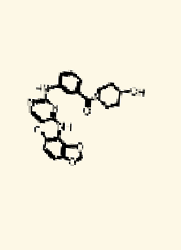 O=C(c1cccc(Nc2nccc(Nc3c(Cl)ccc4c3OCO4)n2)c1)N1CCC(O)CC1